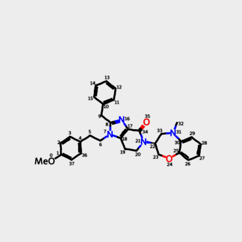 COc1ccc(CCn2c(Cc3ccccc3)nc3c2CCN([C@@H]2COc4ccccc4N(C)C2)C3=O)cc1